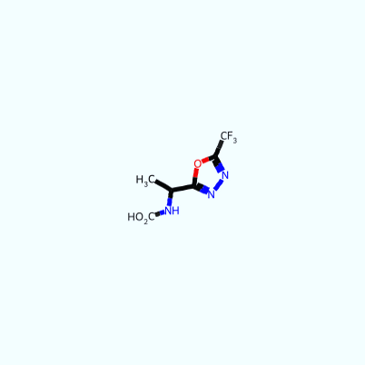 CC(NC(=O)O)c1nnc(C(F)(F)F)o1